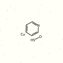 [Cu].[O]S.c1ccncc1